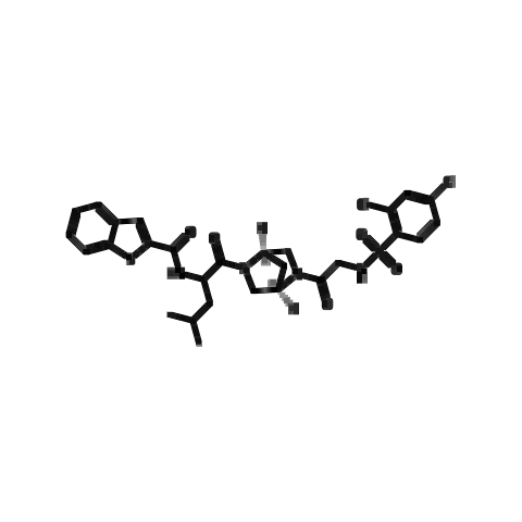 CC(C)CC(NC(=O)c1cc2ccccc2s1)C(=O)N1C[C@H]2C[C@@H]1CN2C(=O)CNS(=O)(=O)c1ccc(Cl)cc1Cl